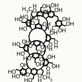 CCCC1c2cc(c(O)c(CO)c2O)C(c2ccc(O)c(CO)c2O)CCCC2c3cc(c(O)c(CO)c3O)C(CCCC3c4cc(c(O)c(CO)c4O)C4CCCC(c5cc(Cc6cc(C)c(O)c(CO)c6O)c(O)c(CO)c5O)c5cc(c(O)c(CO)c5O)C(CCC)c5cc(c(O)c(CO)c5O)C(CCCC(c5cc2c(O)c(CO)c5O)c2cc3c(O)c(CO)c2O)c2cc4c(O)c(CO)c2O)c2cc1c(O)c(CO)c2O